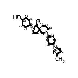 Cc1ccn(-c2cnc(N3CCC[C@@]4(CCN(C5CCC(O)CC5)C4=O)C3)nc2)n1